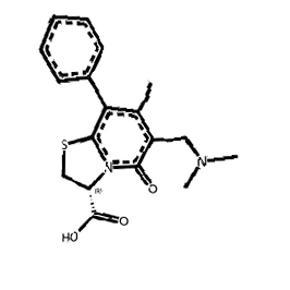 Cc1c(-c2ccccc2)c2n(c(=O)c1CN(C)C)[C@H](C(=O)O)CS2